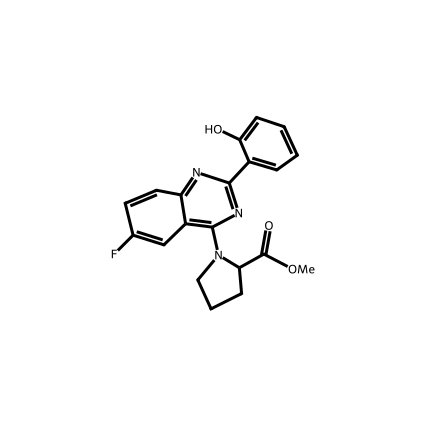 COC(=O)C1CCCN1c1nc(-c2ccccc2O)nc2ccc(F)cc12